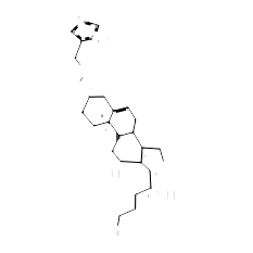 CC(C)CCC[C@@H](C)[C@H]1CCC2C3CC=C4C[C@@H](SSCc5cnc[nH]5)CC[C@]4(C)C3CC[C@@]21C